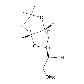 COCC(O)[C@@H]1C[C@H]2OC(C)(C)O[C@H]2O1